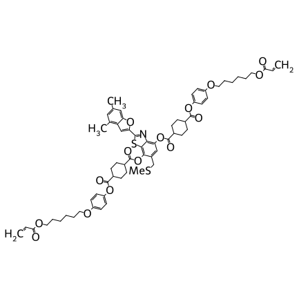 C=CC(=O)OCCCCCCOc1ccc(OC(=O)C2CCC(C(=O)Oc3cc(CSC)c(OC(=O)C4CCC(C(=O)Oc5ccc(OCCCCCCOC(=O)C=C)cc5)CC4)c4sc(-c5cc6c(C)cc(C)cc6o5)nc34)CC2)cc1